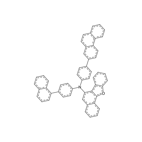 c1ccc2c(-c3ccc(N(c4ccc(-c5ccc6c(ccc7ccccc76)c5)cc4)c4cc5ccccc5c5oc6ccccc6c45)cc3)cccc2c1